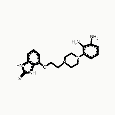 Nc1cccc(N2CCN(CCOc3cccc4[nH]c(=S)[nH]c34)CC2)c1N